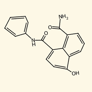 NC(=O)c1cccc2c(O)ccc(C(=O)Nc3ccccc3)c12